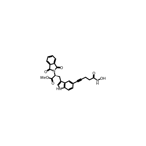 COC(=O)[C@H](Cc1c[nH]c2ccc(C#CCCC(=O)NO)cc12)N1C(=O)c2ccccc2C1=O